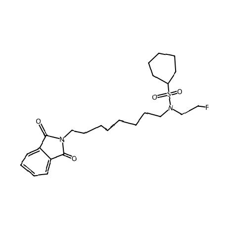 O=C1c2ccccc2C(=O)N1CCCCCCCCN(CCF)S(=O)(=O)C1CCCCC1